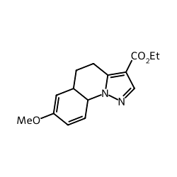 CCOC(=O)c1cnn2c1CCC1C=C(OC)C=CC12